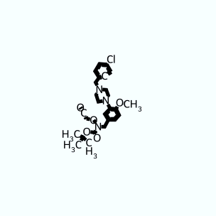 COc1ccc(CN(OC=C=O)C(=O)OC(C)(C)C)cc1N1CCN(Cc2ccc(Cl)cc2)CC1